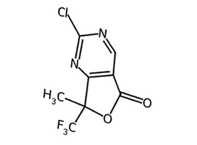 CC1(C(F)(F)F)OC(=O)c2cnc(Cl)nc21